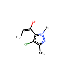 C/C=C(/O)c1c(Cl)c(C)nn1CC